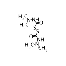 CN(C)NC(=O)SSC(=O)NN(C)C